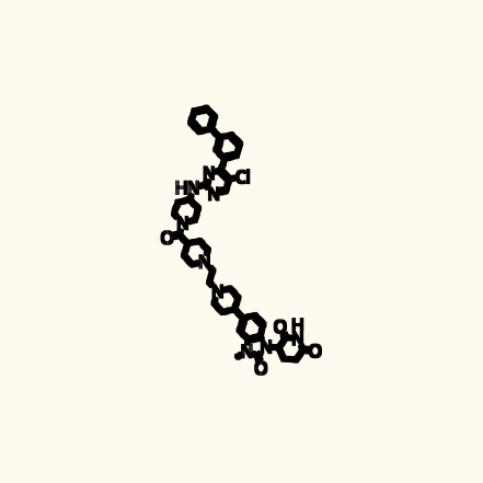 Cn1c(=O)n(C2CCC(=O)NC2=O)c2ccc(C3CCN(CCN4CCC(C(=O)N5CCC(Nc6ncc(Cl)c(-c7cccc(-c8ccccc8)c7)n6)CC5)CC4)CC3)cc21